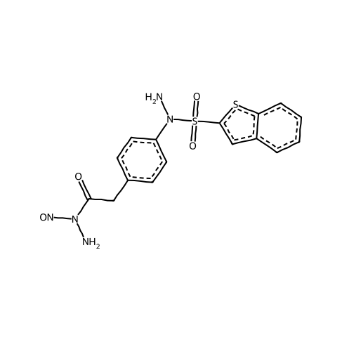 NN(N=O)C(=O)Cc1ccc(N(N)S(=O)(=O)c2cc3ccccc3s2)cc1